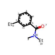 CCc1cccc(C(=O)N(C)CC)c1